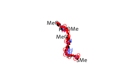 COc1ccc(C2=CN3C(=O)c4cc(OC)c(OCCCOc5cc6c(cc5OC)C(=O)N5C=C(c7ccc(NC(=O)[C@H](C)NC(=O)C(NC(=O)CCCCCN8C(=O)CC(SC)C8=O)C(C)C)cc7)CC5C=N6)cc4N=C[C@@H]3C2)cc1